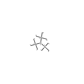 C[Si](C)(C)[V]([Si](C)(C)C)[Si](C)(C)C